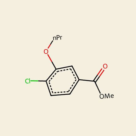 CCCOc1cc(C(=O)OC)ccc1Cl